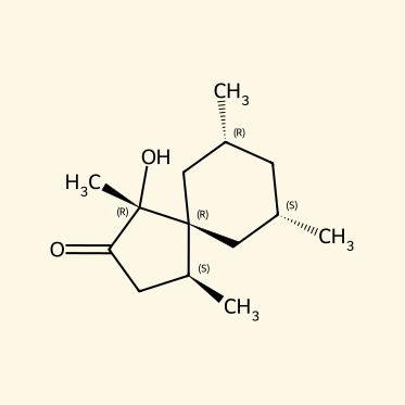 C[C@@H]1C[C@H](C)C[C@@]2(C1)[C@@H](C)CC(=O)[C@]2(C)O